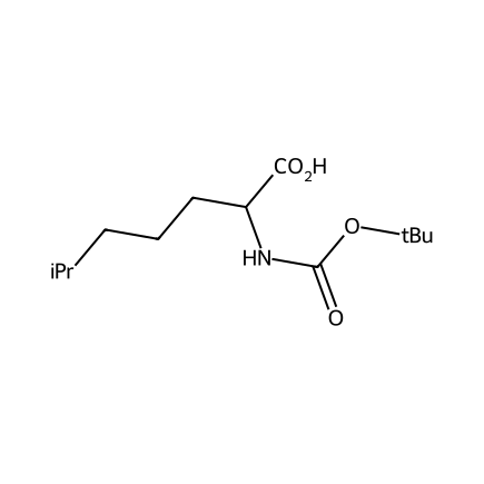 CC(C)CCCC(NC(=O)OC(C)(C)C)C(=O)O